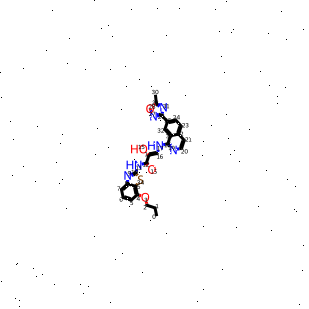 CCCOc1cccc2nc(NC(=O)C(O)=CNc3nccc4ccc(-c5noc(C)n5)cc34)sc12